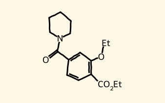 CCOC(=O)c1ccc(C(=O)N2CCCCC2)cc1OCC